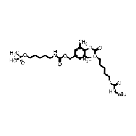 CCCCNC(=O)OCCCCCOC(=O)Oc1c(C)cc(COC(=O)NCCCCCOP(C)(=O)O)cc1C